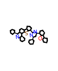 c1ccc(-c2cc(-c3cccc4c3oc3ccccc34)nc(-c3cccc4c3sc3c4ccc4c(-c5ccccc5)nc5ccccc5c43)n2)cc1